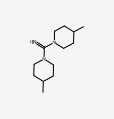 CC1CCN(C(=N)N2CCC(C)CC2)CC1